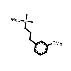 COc1cccc(CCC[Si](C)(C)OC)c1